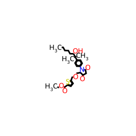 CCCCCC(O)C(C)(C)c1ccc(N2C(=O)CC(=O)C2COCc2ccc(C(=O)OCC)s2)cc1